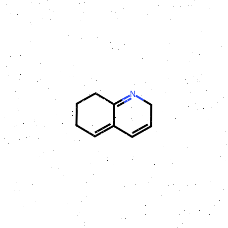 C1=CC2=CCCCC2=NC1